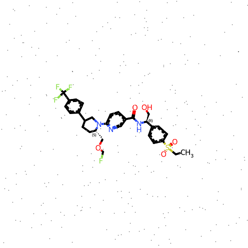 CCS(=O)(=O)c1ccc([C@H](CO)NC(=O)c2ccc(N3CC(c4ccc(C(F)(F)F)cc4)CC[C@H]3COCF)nc2)cc1